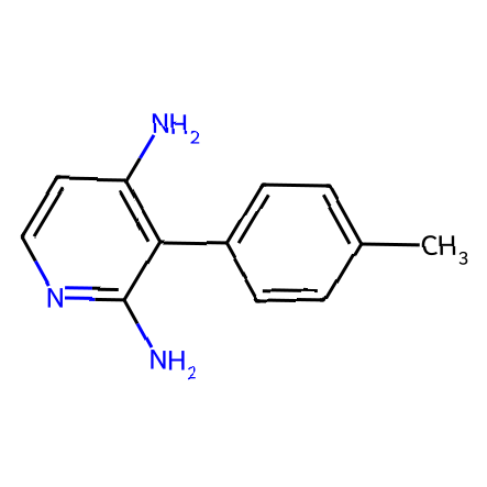 Cc1ccc(-c2c(N)ccnc2N)cc1